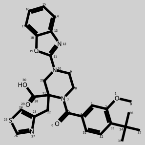 COc1cc(C(=O)N2CCN(c3nc4ccccc4o3)CC2(Cc2cscn2)C(=O)O)ccc1C(C)(C)C